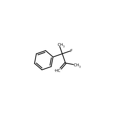 [CH]=C(C)C(C)(F)c1ccccc1